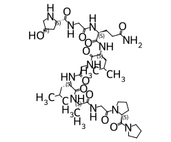 CC(C)C[C@H](NC(=O)CNC(=O)[C@H](CC(C)C)NC(=O)[C@H](CCC(N)=O)NC(=O)CNC(=O)[C@@H]1C[C@@H](O)CN1)C(=O)N[C@@H](C)C(=O)NCC(=O)N1CCC[C@H]1C(=O)N1CCCC1